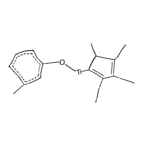 CC1=C(C)C(C)[C]([Ti][O]c2cccc(C)c2)=C1C